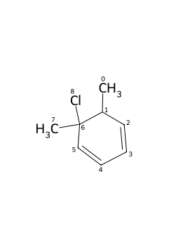 CC1C=CC=CC1(C)Cl